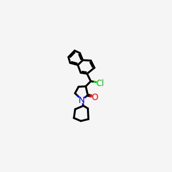 O=C1C(C(Cl)c2ccc3ccccc3c2)CCN1C1CCCCC1